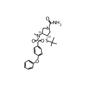 CN([C@H]1CN(C(N)=O)C[C@@H]1SC(C)(C)C)S(=O)(=O)c1ccc(Oc2ccccc2)cc1